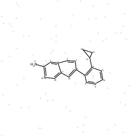 Nc1cc2ccc(-c3cnccc3C3CC3)cc2cn1